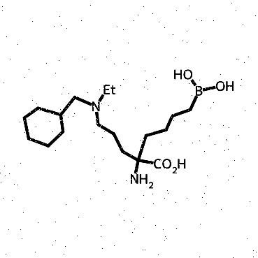 CCN(CCCC(N)(CCCCB(O)O)C(=O)O)CC1CCCCC1